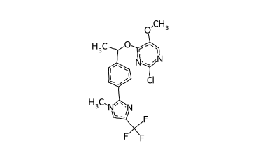 COc1cnc(Cl)nc1OC(C)c1ccc(-c2nc(C(F)(F)F)cn2C)cc1